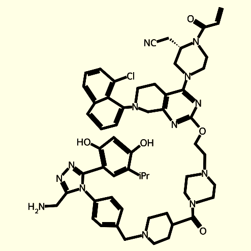 C=CC(=O)N1CCN(c2nc(OCCN3CCN(C(=O)C4CCN(Cc5ccc(-n6c(CN)nnc6-c6cc(C(C)C)c(O)cc6O)cc5)CC4)CC3)nc3c2CCN(c2cccc4cccc(Cl)c24)C3)C[C@@H]1CC#N